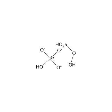 O=S(=O)(O)OO.[O-][I+3]([O-])([O-])O